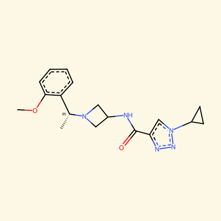 COc1ccccc1[C@@H](C)N1CC(NC(=O)c2cn(C3CC3)nn2)C1